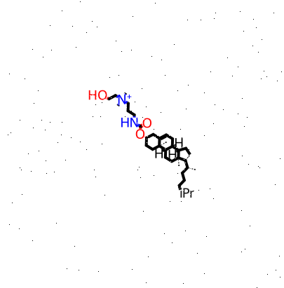 CC(C)CCC[C@@H](C)[C@H]1CC[C@H]2[C@@H]3CC=C4C[C@@H](OC(=O)NCCC[N+](C)(C)CCO)CC[C@]4(C)[C@H]3CC[C@]12C